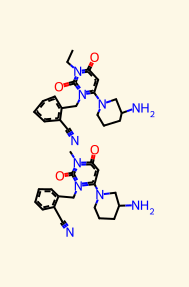 CCn1c(=O)cc(N2CCCC(N)C2)n(Cc2ccccc2C#N)c1=O.Cn1c(=O)cc(N2CCCC(N)C2)n(Cc2ccccc2C#N)c1=O